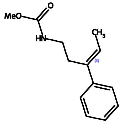 C/C=C(\CCNC(=O)OC)c1ccccc1